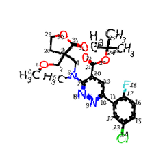 COCC1(CN(C)c2nnc(-c3cc(Cl)ccc3F)cc2C(=O)OC(C)(C)C)CCOC1=O